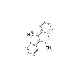 CC1Cc2ccccc2C(C)C1c1ccccc1